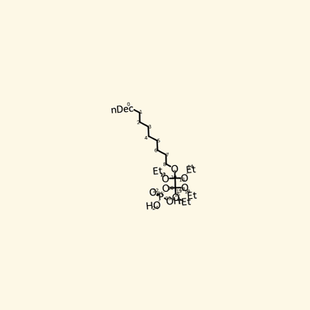 CCCCCCCCCCCCCCCCCCOC(OCC)(OCC)C(OCC)(OCC)OP(=O)(O)O